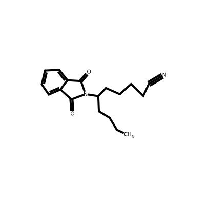 CCCCC(CCCCC#N)N1C(=O)c2ccccc2C1=O